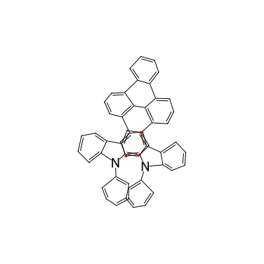 c1ccc(-n2c3ccccc3c3cc(-c4cccc5c6ccccc6c6cccc(-c7ccc8c(c7)c7ccccc7n8-c7ccccc7)c6c45)ccc32)cc1